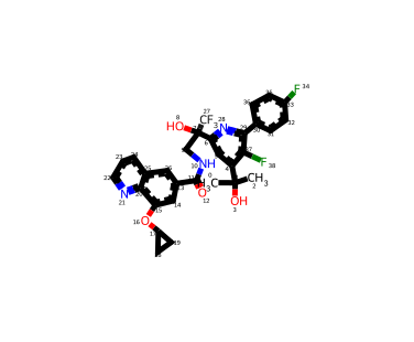 CC(C)(O)c1cc(C(O)(CNC(=O)c2cc(OC3CC3)c3ncccc3c2)C(F)(F)F)nc(-c2ccc(F)cc2)c1F